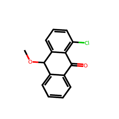 COC1c2ccccc2C(=O)c2c(Cl)cccc21